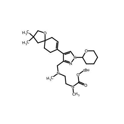 CN(CCN(C)C(=O)OC(C)(C)C)Cc1nn(C2CCCCO2)cc1C1=CCC2(CC1)CC(C)(C)CO2